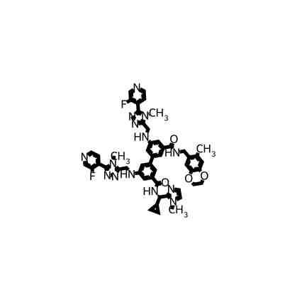 Cc1cc2c(cc1CNC(=O)c1cc(NCc3nnc(-c4ccncc4F)n3C)cc(-c3cc(NCc4nnc(-c5ccncc5F)n4C)cc(C(=O)N[C@@H](c4nccn4C)C4CC4)c3)c1)OCCO2